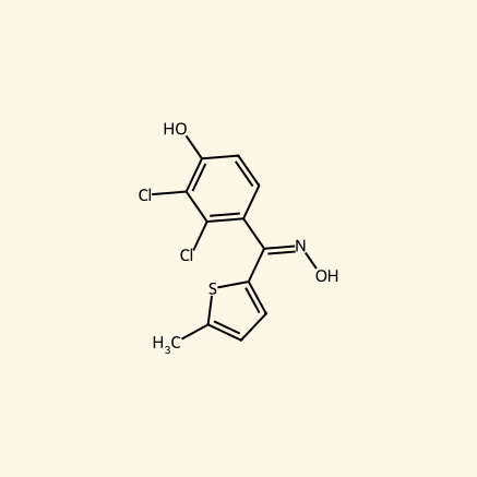 Cc1ccc(C(=NO)c2ccc(O)c(Cl)c2Cl)s1